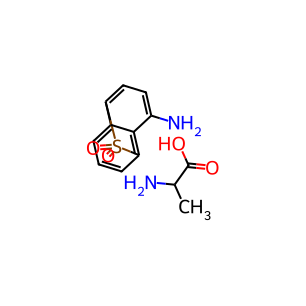 CC(N)C(=O)O.Nc1ccc2c3cccc(c13)S2(=O)=O